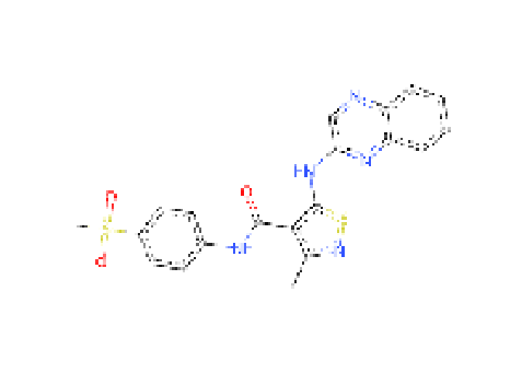 Cc1nsc(Nc2cnc3ccccc3n2)c1C(=O)Nc1ccc(S(C)(=O)=O)cc1